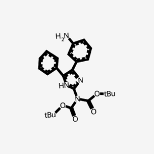 CC(C)(C)OC(=O)N(C(=O)OC(C)(C)C)c1nc(-c2cccc(N)c2)c(-c2ccccc2)[nH]1